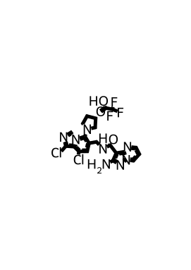 Nc1nn2cccnc2c1C(=O)NCc1cc(Cl)c2c(Cl)ncn2c1N1CCCC1.O=C(O)C(F)(F)F